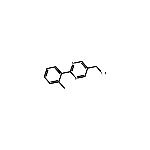 Cc1ccccc1-c1ncc(CO)cn1